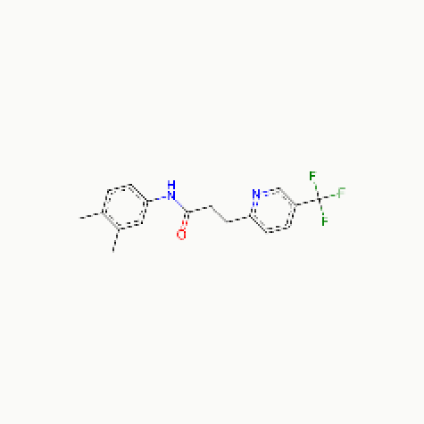 Cc1ccc(NC(=O)CCc2ccc(C(F)(F)F)cn2)cc1C